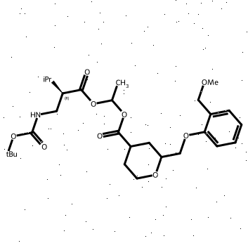 COCc1ccccc1OCC1CC(C(=O)OC(C)OC(=O)[C@@H](CNC(=O)OC(C)(C)C)C(C)C)CCO1